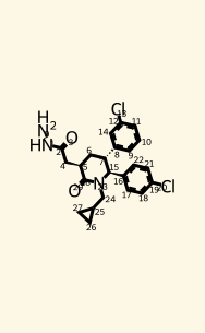 NNC(=O)C[C@H]1C[C@H](c2cccc(Cl)c2)[C@@H](c2ccc(Cl)cc2)N(CC2CC2)C1=O